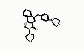 O=c1c2cc(Cc3ccc(N4CCOCC4)cc3)c3ccccc3c2ncn1C1CCOCC1